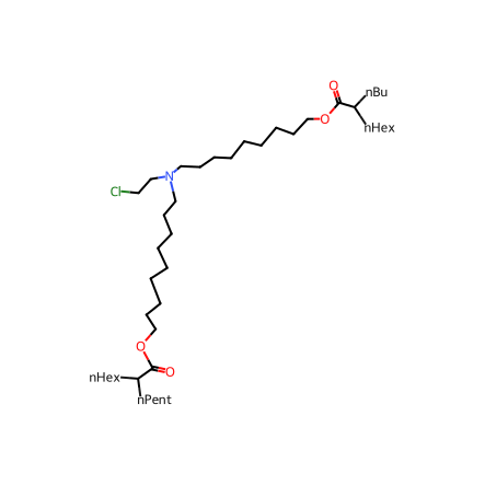 CCCCCCC(CCCC)C(=O)OCCCCCCCCCN(CCCl)CCCCCCCCCOC(=O)C(CCCCC)CCCCCC